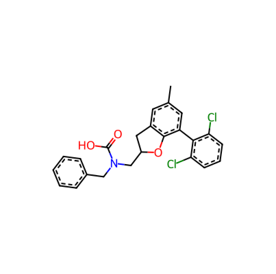 Cc1cc2c(c(-c3c(Cl)cccc3Cl)c1)OC(CN(Cc1ccccc1)C(=O)O)C2